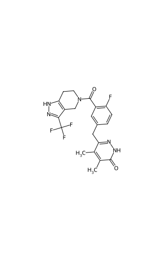 Cc1c(Cc2ccc(F)c(C(=O)N3CCc4[nH]nc(C(F)(F)F)c4C3)c2)n[nH]c(=O)c1C